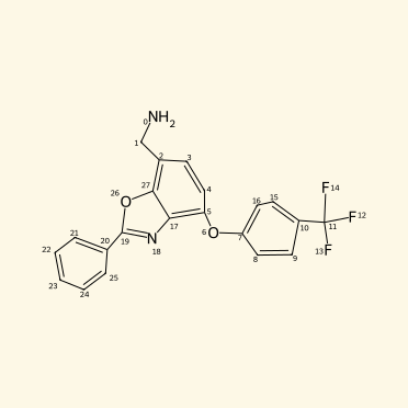 NCc1ccc(Oc2ccc(C(F)(F)F)cc2)c2nc(-c3ccccc3)oc12